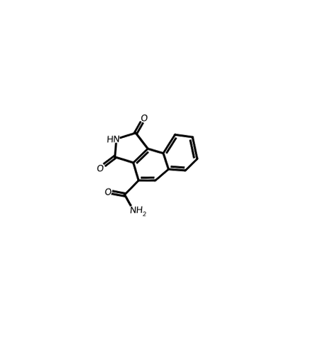 NC(=O)c1cc2ccccc2c2c1C(=O)NC2=O